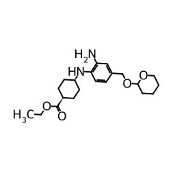 CCOC(=O)[C@H]1CC[C@@H](Nc2ccc(COC3CCCCO3)cc2N)CC1